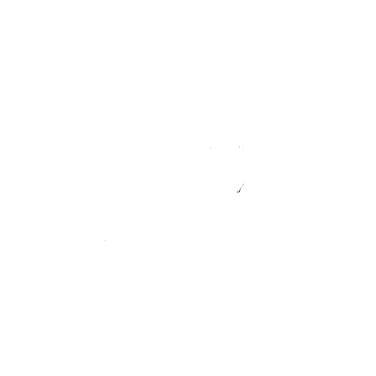 CC(=O)CCC#CC[C@@H]1CCCN1C